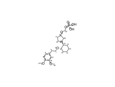 COc1ccc(CCO[C@H]2CCCC[C@@H]2N2CCC(OCOP(=O)(O)O)C2)cc1OC